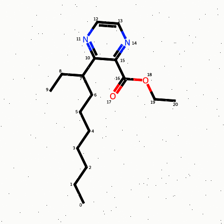 CCCCCCCC(CC)c1nccnc1C(=O)OCC